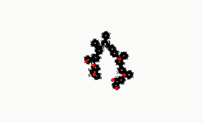 CC1(C)c2ccccc2-c2ccc(-n3c4ccccc4c4cc(-c5ccc6c(c5)c5ccccc5n6-c5ccc6cc(-c7nc(-c8ccccc8)cc(-n8c9ccccc9c9cc(-c%10ccc%11c(c%10)c%10ccccc%10n%11-c%10ccc%11c(c%10)C(C)(C)c%10ccccc%10-%11)ccc98)n7)ccc6c5)ccc43)cc21